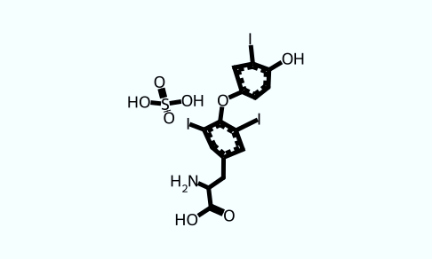 NC(Cc1cc(I)c(Oc2ccc(O)c(I)c2)c(I)c1)C(=O)O.O=S(=O)(O)O